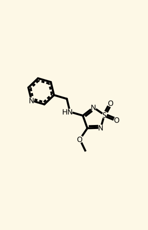 COC1=NS(=O)(=O)N=C1NCc1cccnc1